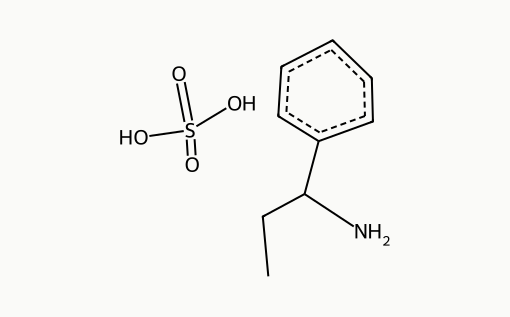 CCC(N)c1ccccc1.O=S(=O)(O)O